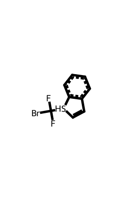 FC(F)(Br)[SH]1C=Cc2ccccc21